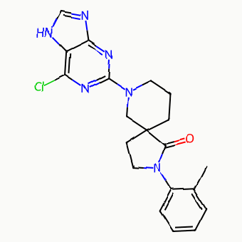 Cc1ccccc1N1CCC2(CCCN(c3nc(Cl)c4[nH]cnc4n3)C2)C1=O